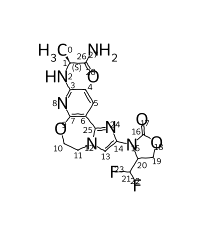 C[C@H](Nc1ccc2c(n1)OCCn1cc(N3C(=O)OCC3C(F)F)nc1-2)C(N)=O